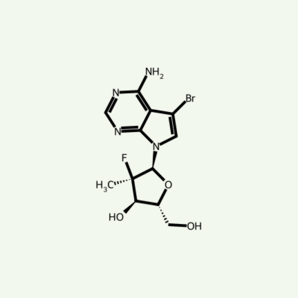 C[C@@]1(F)[C@H](O)[C@@H](CO)O[C@@H]1n1cc(Br)c2c(N)ncnc21